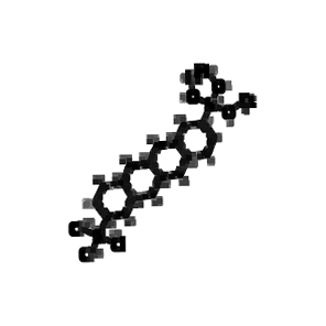 CCO[Si](OCC)(OCC)c1ccc2cc3cc4cc([Si](Cl)(Cl)Cl)ccc4cc3cc2c1